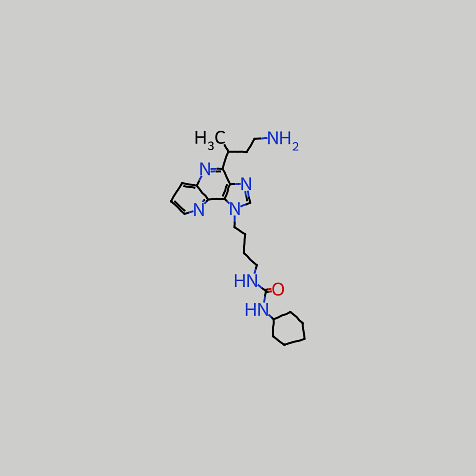 CC(CCN)c1nc2cccnc2c2c1ncn2CCCCNC(=O)NC1CCCCC1